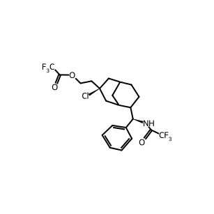 O=C(N[C@@H](c1ccccc1)C1CCC2CC1C[C@](Cl)(CCOC(=O)C(F)(F)F)C2)C(F)(F)F